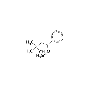 CC(C)(C)CC(O[SiH3])c1ccccc1